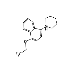 FC(F)(F)COc1ccc([SiH]2CCCCC2)c2ccccc12